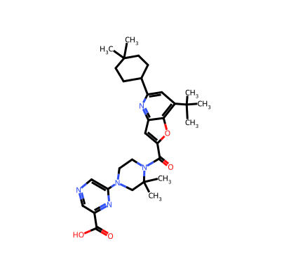 CC1(C)CCC(c2cc(C(C)(C)C)c3oc(C(=O)N4CCN(c5cncc(C(=O)O)n5)CC4(C)C)cc3n2)CC1